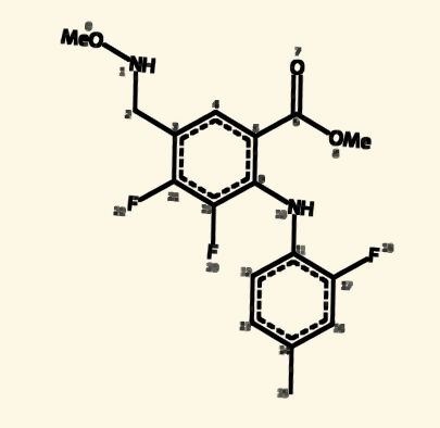 CONCc1cc(C(=O)OC)c(Nc2ccc(C)cc2F)c(F)c1F